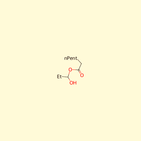 CCCCCCC(=O)OC(O)CC